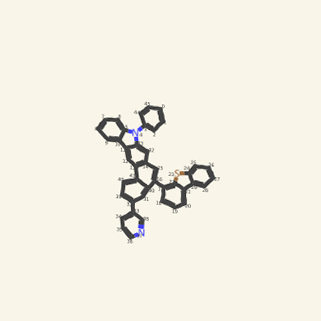 c1ccc(-n2c3ccccc3c3cc4c(cc(-c5cccc6c5sc5ccccc56)c5cc(-c6cccnc6)ccc54)cc32)cc1